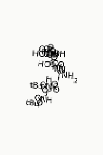 CC(C)(C)OC(=O)NCCCCC(NC(=O)OC(C)(C)C)C(=O)OCC#Cc1cn([C@H]2CC(O)[C@@H](COP(=O)(O)OP(=O)(O)OP(=O)(O)O)O2)c(=O)nc1N